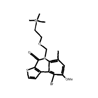 COc1cc(C)c2c(c1Br)c1ccsc1c(=O)n2COCC[Si](C)(C)C